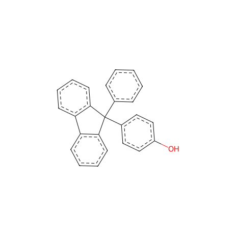 Oc1ccc(C2(c3ccccc3)c3ccccc3-c3ccccc32)cc1